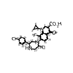 O=C(O)c1cn(C2CC2)c2c(F)c(N3CC(c4ccc(Cl)cc4)NCC3Cl)ccc2c1=O